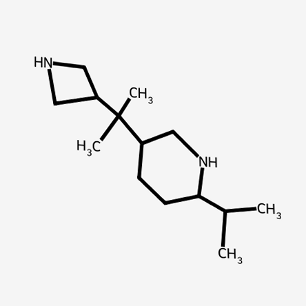 CC(C)C1CCC(C(C)(C)C2CNC2)CN1